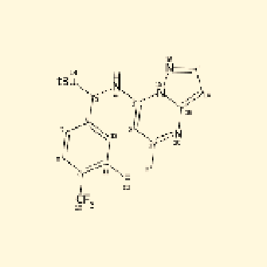 Cc1cc(NC(c2ccc(C(F)(F)F)c(F)c2)C(C)(C)C)n2nccc2n1